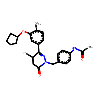 CCCCC(=O)Nc1ccc(CN2N=C(c3ccc(OC)c(OC4CCCC4)c3)C(CC)CC2=O)cc1